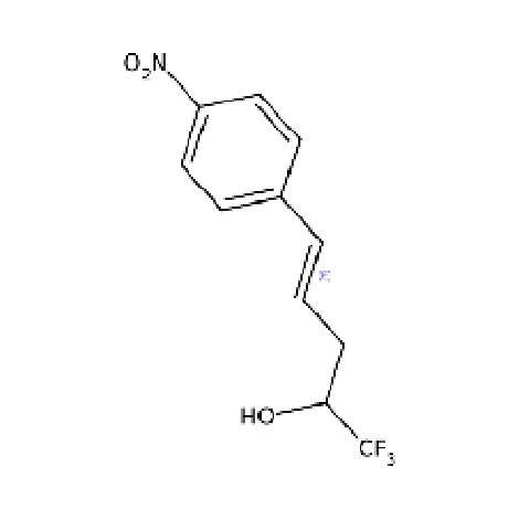 O=[N+]([O-])c1ccc(/C=C/CC(O)C(F)(F)F)cc1